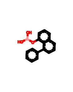 OB(O)Oc1cccc2cccc(-c3ccccc3)c12